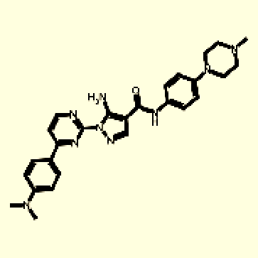 CN1CCN(c2ccc(NC(=O)c3cnn(-c4nccc(-c5ccc(N(C)C)cc5)n4)c3N)cc2)CC1